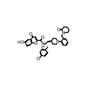 O=C(N[C@H](C=C1CCN(c2ccccc2CN2CCCCC2=O)CC1)Cc1ccc(Cl)cc1)c1cc(=O)c2cc(O)ccc2o1